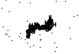 CN(C)Cc1cccc(NC(=O)c2cc3c(Oc4ccc(NC(=O)C5(C(=O)Nc6ccc(F)cc6)CC5)cc4)ccnc3[nH]2)c1